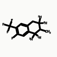 [2H]C1([2H])Cc2cc(C(F)(F)F)c(F)cc2C([2H])([2H])C1C